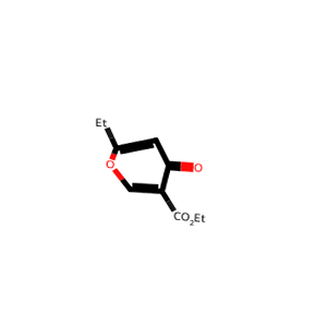 CCOC(=O)c1coc(CC)cc1=O